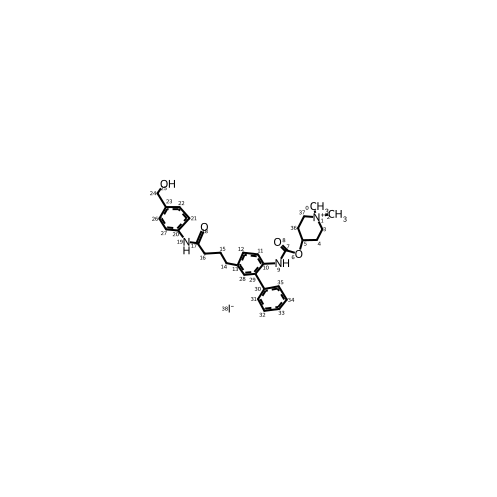 C[N+]1(C)CCC(OC(=O)Nc2ccc(CCCC(=O)Nc3ccc(CO)cc3)cc2-c2ccccc2)CC1.[I-]